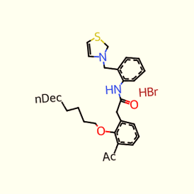 Br.CCCCCCCCCCCCCCOc1c(CC(=O)Nc2ccccc2CN2C=CSC2)cccc1C(C)=O